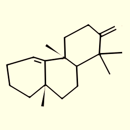 CC1(C)C(=O)CC[C@@]2(C)C3=CCCC[C@@]3(C)CCC12